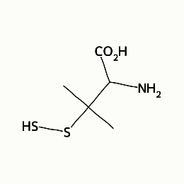 CC(C)(SS)C(N)C(=O)O